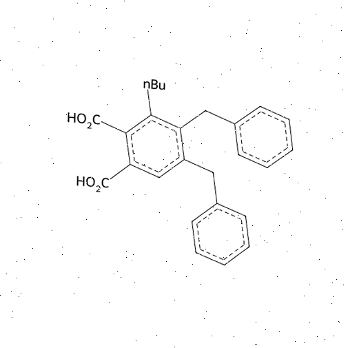 CCCCc1c(Cc2ccccc2)c(Cc2ccccc2)cc(C(=O)O)c1C(=O)O